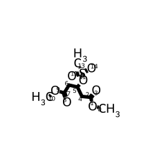 COC(=O)CC(CC(=O)OC)OS(C)(=O)=O